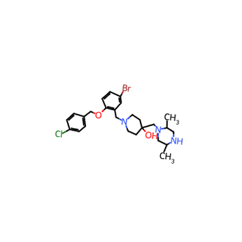 CC1CN(CC2(O)CCN(Cc3cc(Br)ccc3OCc3ccc(Cl)cc3)CC2)C(C)CN1